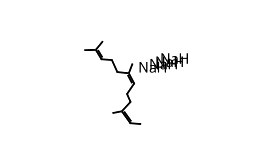 CC=C(C)CCC=C(C)CCC=C(C)C.[NaH].[NaH].[NaH].[NaH]